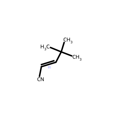 CC(C)(C)/C=C/C#N